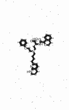 O=C(N[C@@H](CCN(CCCCc1ccc2c(n1)NCCC2)CCOc1ccccc1)C(=O)O)C1OCCc2ccccc21